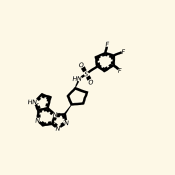 O=S(=O)(N[C@H]1CC[C@@H](c2nnc3cnc4[nH]ccc4n23)C1)c1cc(F)c(F)c(F)c1